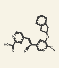 COc1ncc(C(C#N)=Cc2ccnc(C(=O)O)c2)cc1OC1Cc2ccccc2C1